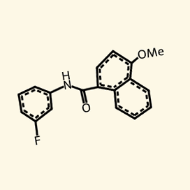 COc1ccc(C(=O)Nc2cccc(F)c2)c2ccccc12